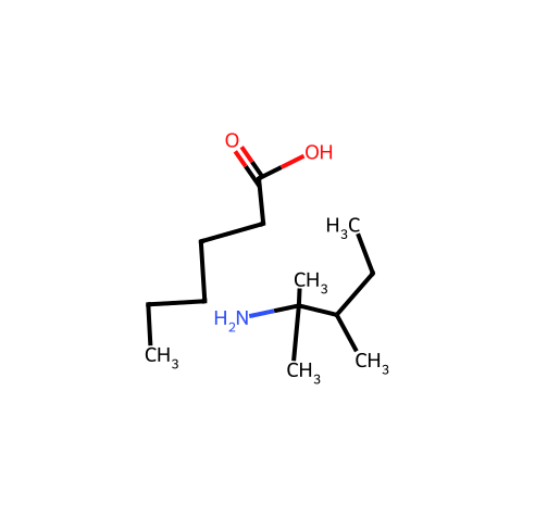 CCC(C)C(C)(C)N.CCCCCC(=O)O